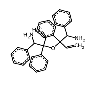 C=CC(OC(C=C)(c1ccccc1)C(N)c1ccccc1)(c1ccccc1)C(N)c1ccccc1